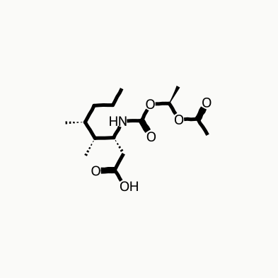 CCC[C@@H](C)[C@@H](C)[C@@H](CC(=O)O)NC(=O)O[C@@H](C)OC(C)=O